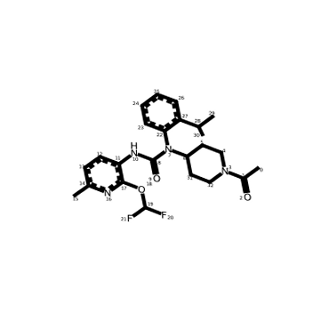 CC(=O)N1CCC(N(C(=O)Nc2ccc(C)nc2OC(F)F)c2ccccc2C(C)C)CC1